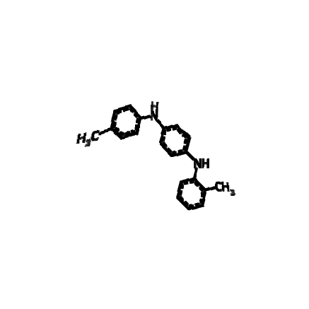 Cc1ccc(Nc2ccc(Nc3ccccc3C)cc2)cc1